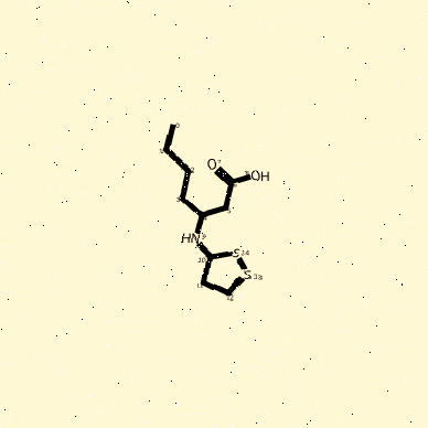 CCCCC(CC(=O)O)NC1CCSS1